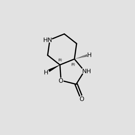 O=C1N[C@@H]2CCNC[C@H]2O1